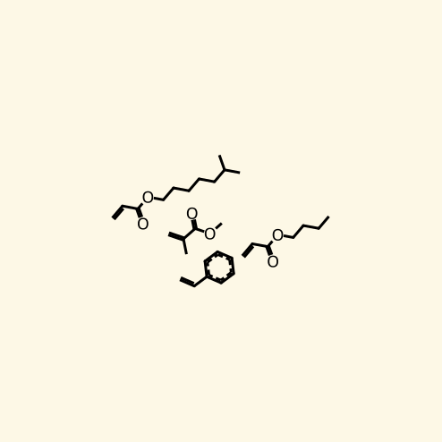 C=C(C)C(=O)OC.C=CC(=O)OCCCC.C=CC(=O)OCCCCCC(C)C.C=Cc1ccccc1